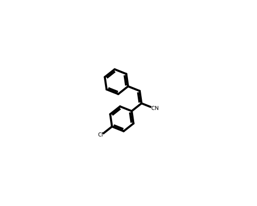 N#CC(=Cc1ccccc1)c1ccc(Cl)cc1